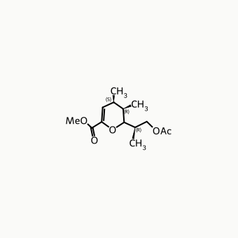 COC(=O)C1=C[C@@H](C)[C@@H](C)C([C@H](C)COC(C)=O)O1